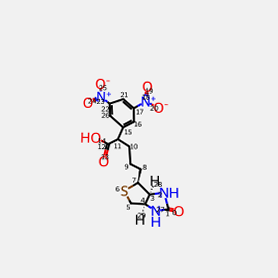 O=C1N[C@H]2[C@H](CS[C@H]2CCCC(C(=O)O)c2cc([N+](=O)[O-])cc([N+](=O)[O-])c2)N1